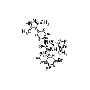 Cc1n[nH]c(C)c1-c1ccc(NC(=O)[C@@H](NC(=O)c2ccnn2C)[C@@H]2CCCc3c(F)cc(Br)cc32)cc1